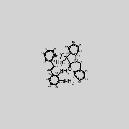 CC1(C)C(=O)N(Cc2ccccc2)c2ccccc21.Nc1cccc(C=Cc2ccccc2)c1N